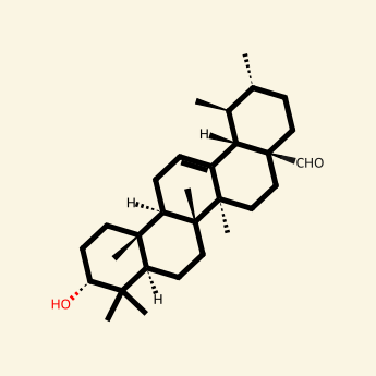 C[C@H]1[C@H](C)CC[C@]2(C=O)CC[C@]3(C)C(=CC[C@@H]4[C@@]5(C)CC[C@@H](O)C(C)(C)[C@@H]5CC[C@]43C)[C@H]12